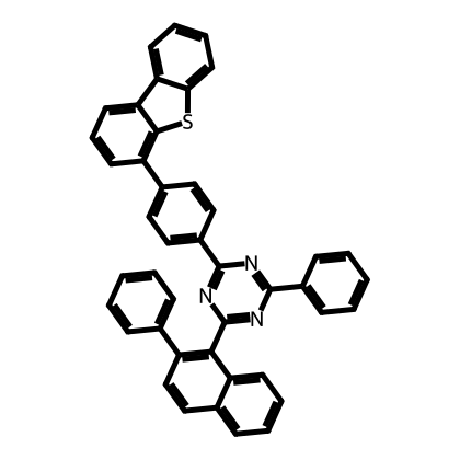 c1ccc(-c2nc(-c3ccc(-c4cccc5c4sc4ccccc45)cc3)nc(-c3c(-c4ccccc4)ccc4ccccc34)n2)cc1